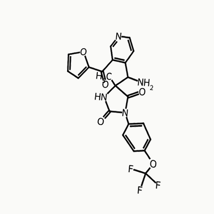 CC1(C(N)c2ccncc2C(=O)c2ccco2)NC(=O)N(c2ccc(OC(F)(F)F)cc2)C1=O